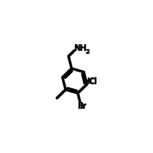 Cc1cc(CN)ccc1Br.Cl